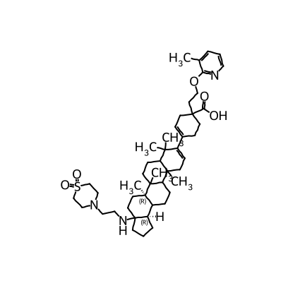 Cc1cccnc1OCCC1(C(=O)O)CC=C(C2=CCC3(C)C(CCC4(C)C3CCC3[C@H]5CCCC5(NCCN5CCS(=O)(=O)CC5)CC[C@]34C)C2(C)C)CC1